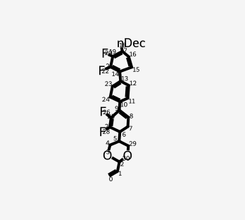 C=CC1OCC(C2CC=C(c3ccc(-c4ccc(CCCCCCCCCC)c(F)c4F)cc3)C(F)=C2F)CO1